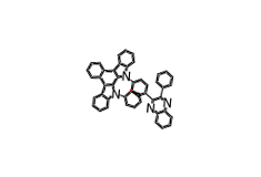 c1ccc(-c2nc3ccccc3nc2-c2ccc(-n3c4ccccc4c4c5ccccc5c5c6ccccc6n(-c6ccccc6)c5c43)cc2)cc1